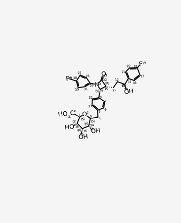 O=C(O)[C@H]1O[C@@H](Cc2ccc([C@@H]3[C@@H](CC[C@H](O)c4ccc(F)cc4)C(=O)N3c3ccc(F)cc3)cc2)[C@H](O)[C@@H](O)[C@@H]1O